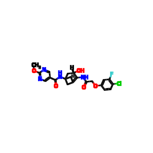 COc1ncc(C(=O)NC23CC(=C(NC(=O)COc4ccc(Cl)c(F)c4)[C@@H](O)C2)C3)cn1